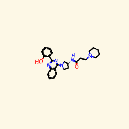 O=C(CCN1CCCCC1)N[C@@H]1CCN(c2nc(-c3ccccc3O)nc3ccccc23)C1